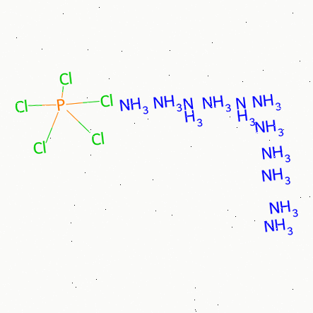 ClP(Cl)(Cl)(Cl)Cl.N.N.N.N.N.N.N.N.N.N.N